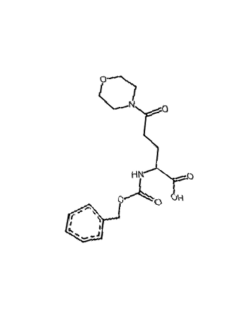 O=C(NC(CCC(=O)N1CCOCC1)C(=O)O)OCc1ccccc1